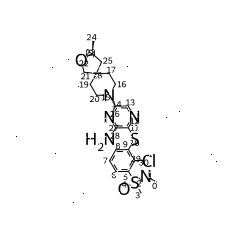 CN=S(C)(=O)c1cccc(Sc2ncc(N3CCC4(CC3)CO[C@@H](C)C4)nc2N)c1Cl